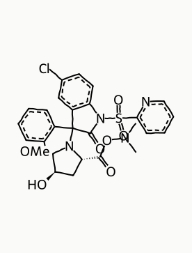 COc1ccccc1C1(N2C[C@H](O)C[C@H]2C(=O)ON(C)C)C(=O)N(S(=O)(=O)c2ccccn2)c2ccc(Cl)cc21